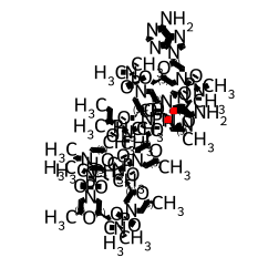 CCC(C)P(=O)(OC[C@@H]1CN(P(=O)(OC[C@@H]2CN(P(=O)(OC[C@@H]3CN(P(=O)(OC[C@@H]4CN(P(=O)(OC[C@@H]5CN(P(=O)(OC[C@@H]6CN(P(=O)(OC[C@@H]7CN(C(C)C)C[C@H](C)O7)N(C)C)C[C@H](C)O6)N(C)C)C[C@H](C)O5)N(C)C)C[C@H](C)O4)N(C)C)C[C@H](C)O3)N(C)C)C[C@H](n3cnc4c(N)ncnc43)O2)N(C)C)C[C@H](n2cnc3c(N)ncnc32)O1)N(C)C